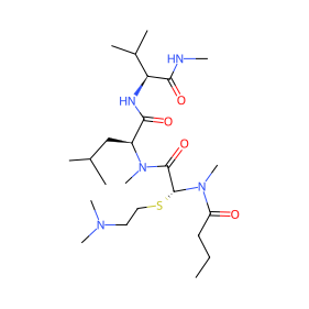 CCCC(=O)N(C)[C@H](SCCN(C)C)C(=O)N(C)[C@@H](CC(C)C)C(=O)N[C@H](C(=O)NC)C(C)C